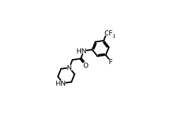 O=C(CN1CCNCC1)Nc1cc(F)cc(C(F)(F)F)c1